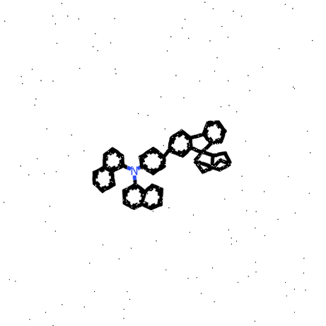 c1ccc2c(c1)-c1ccc(-c3ccc(N(c4cccc5ccccc45)c4cccc5ccccc45)cc3)cc1C21C2CC3CC(C2)C1C3